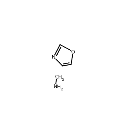 CN.c1cocn1